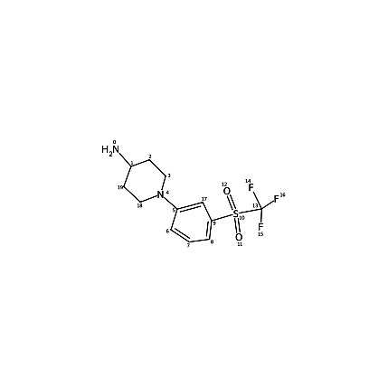 NC1CCN(c2cccc(S(=O)(=O)C(F)(F)F)c2)CC1